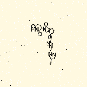 C#Cc1cnn(CCn2cnc(COc3cccc4c3CN(C3CCC(=O)NC3=O)C4=O)c2)c1